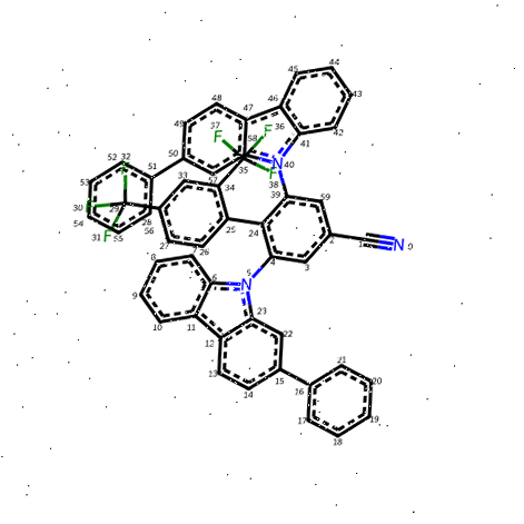 N#Cc1cc(-n2c3ccccc3c3ccc(-c4ccccc4)cc32)c(-c2ccc(C(F)(F)F)cc2C(F)(F)F)c(-n2c3ccccc3c3ccc(-c4ccccc4)cc32)c1